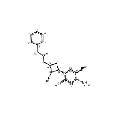 Nc1nc(=O)n([C@@H]2C[C@H](COCc3ccccc3)C2F)cc1F